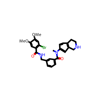 COc1cc(Br)c(C(=O)NCc2cccc(C(=O)N(C)c3ccc4c(c3)CNCC4)c2)cc1OC